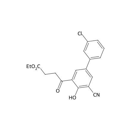 CCOC(=O)CCC(=O)c1cc(-c2cccc(Cl)c2)cc(C#N)c1O